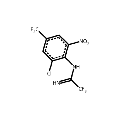 N=C(Nc1c(Cl)cc(C(F)(F)F)cc1[N+](=O)[O-])C(F)(F)F